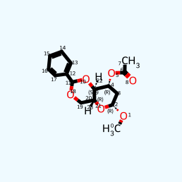 CO[C@H]1C[C@@H](OC(C)=O)[C@@H]2OC(c3ccccc3)OC[C@H]2O1